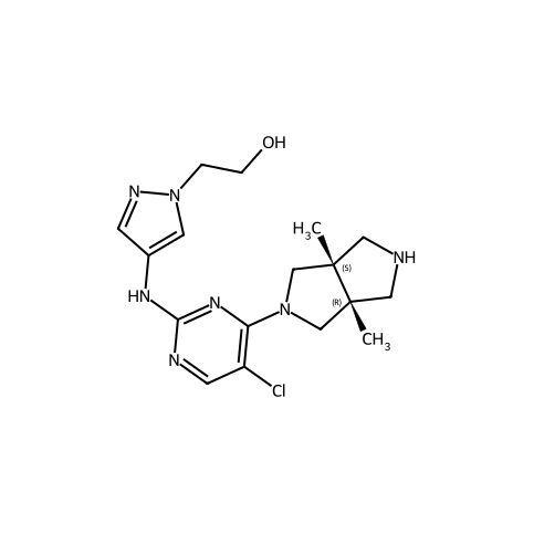 C[C@@]12CNC[C@]1(C)CN(c1nc(Nc3cnn(CCO)c3)ncc1Cl)C2